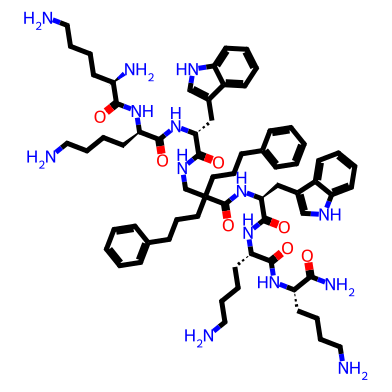 NCCCC[C@@H](N)C(=O)N[C@H](CCCCN)C(=O)N[C@H](Cc1c[nH]c2ccccc12)C(=O)NCC(CCCc1ccccc1)(CCCc1ccccc1)C(=O)N[C@@H](Cc1c[nH]c2ccccc12)C(=O)N[C@@H](CCCCN)C(=O)N[C@@H](CCCCN)C(N)=O